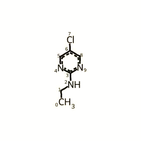 CCNc1ncc(Cl)cn1